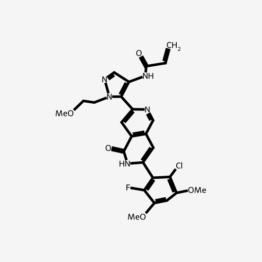 C=CC(=O)Nc1cnn(CCOC)c1-c1cc2c(=O)[nH]c(-c3c(F)c(OC)cc(OC)c3Cl)cc2cn1